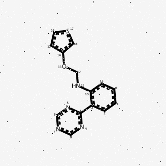 c1ccc(-c2ncncn2)c(NCOc2ccsc2)c1